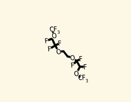 FC(OC(F)(F)F)C(F)(F)OCCOC(F)(F)C(F)OC(F)(F)F